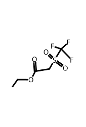 CCOC(=O)CS(=O)(=O)C(F)(F)F